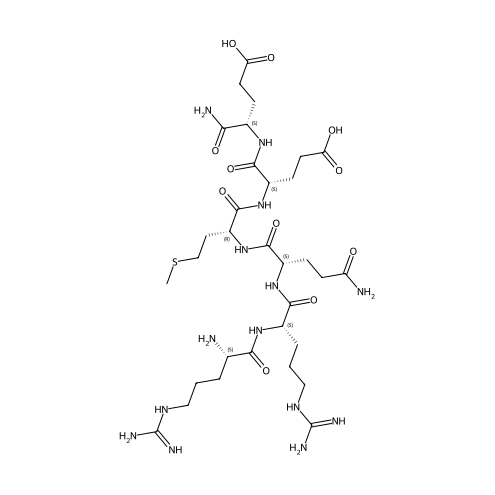 CSCC[C@@H](NC(=O)[C@H](CCC(N)=O)NC(=O)[C@H](CCCNC(=N)N)NC(=O)[C@@H](N)CCCNC(=N)N)C(=O)N[C@@H](CCC(=O)O)C(=O)N[C@@H](CCC(=O)O)C(N)=O